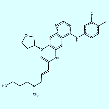 CN(C/C=C/C(=O)Nc1cc2c(Nc3ccc(F)c(Cl)c3)ncnc2cc1O[C@H]1CCOC1)CCCO